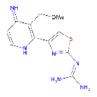 COCc1c(-c2csc(N=C(N)N)n2)[nH]ccc1=N